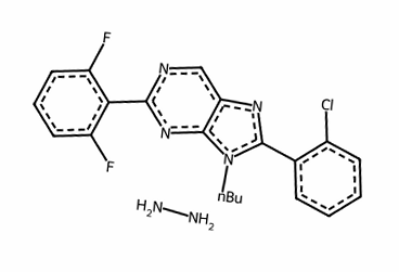 CCCCn1c(-c2ccccc2Cl)nc2cnc(-c3c(F)cccc3F)nc21.NN